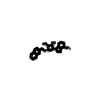 Nc1ncnc2c1ccn2[C@@H]1C[C@H](OCc2ccc3cnccc3c2)[C@@H](O)[C@H]1O